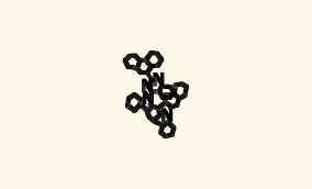 c1ccc2cc3c(cc2c1)c1c2c(cc4c5ccccc5n3c41)c1ccccc1n2-c1nc(-c2cc3ccccc3c3ccccc23)nc2ccccc12